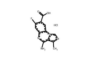 Cc1ncn2c1c(N)nc1cc(F)c(C(=O)O)cc12.Cl